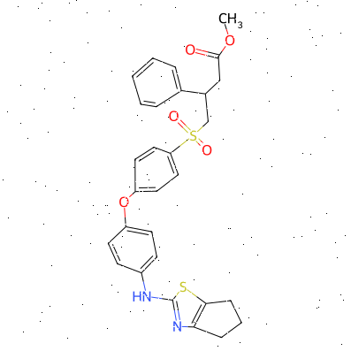 COC(=O)CC(CS(=O)(=O)c1ccc(Oc2ccc(Nc3nc4c(s3)CCC4)cc2)cc1)c1ccccc1